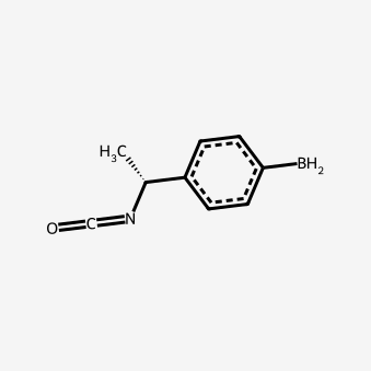 Bc1ccc([C@@H](C)N=C=O)cc1